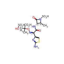 C[C@H]1[C@H](NC(=O)/C(=N\OC(C)(C)C(=O)O)c2csc(N)n2)C(=O)N1S(=O)(=O)O.O=S(=O)(O)O